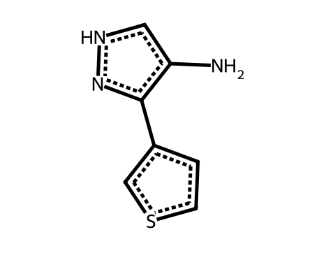 Nc1c[nH]nc1-c1ccsc1